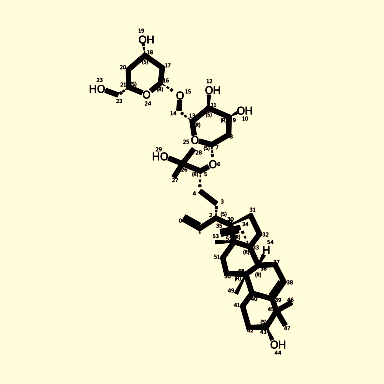 C=C[C@H](CC[C@@H](O[C@H]1C[C@@H](O)[C@H](O)[C@@H](CO[C@H]2C[C@@H](O)C[C@@H](CO)O2)O1)C(C)(C)O)[C@H]1CC[C@@]2(C=C)[C@@H]3CC=C4C(CC[C@H](O)C4(C)C)[C@]3(C)CC[C@]12C